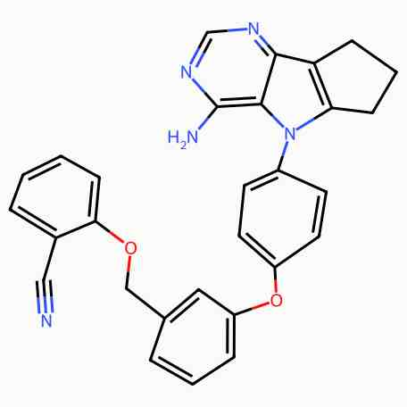 N#Cc1ccccc1OCc1cccc(Oc2ccc(-n3c4c(c5ncnc(N)c53)CCC4)cc2)c1